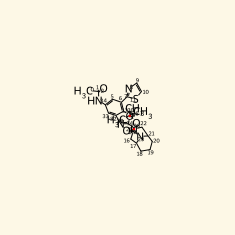 CC(=O)Nc1cc(-c2nccs2)c2oc(N3CC4CCCC(C3)N4C(=O)OC(C)(C)C)nc2c1